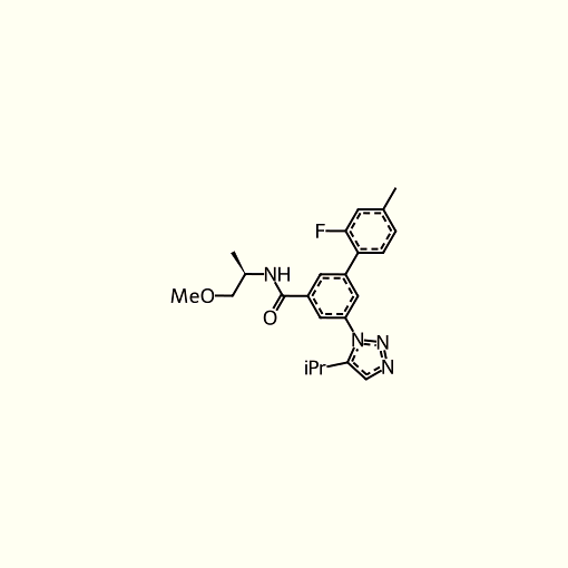 COC[C@@H](C)NC(=O)c1cc(-c2ccc(C)cc2F)cc(-n2nncc2C(C)C)c1